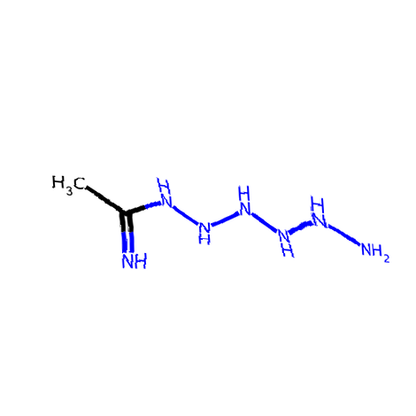 CC(=N)NNNNNN